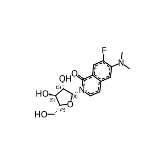 CN(C)c1cc2ccn([C@@H]3O[C@H](CO)[C@@H](O)[C@@H]3O)c(=O)c2cc1F